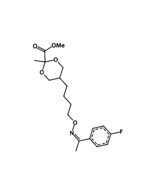 COC(=O)C1(C)OCC(CCCCON=C(C)c2ccc(F)cc2)CO1